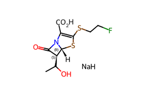 CC(O)[C@H]1C(=O)N2C(C(=O)O)=C(SCCF)S[C@H]12.[NaH]